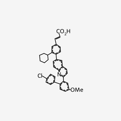 COc1ccc(-c2ccc(Cl)cc2)c(-c2ccc3cc(-c4ccc(C=CC(=O)O)cc4C4CCCCC4)ccc3n2)c1